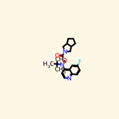 CC(C)(C)N(OC(=O)N1CC2CCCC2C1)c1ccnc2ccc(F)cc12